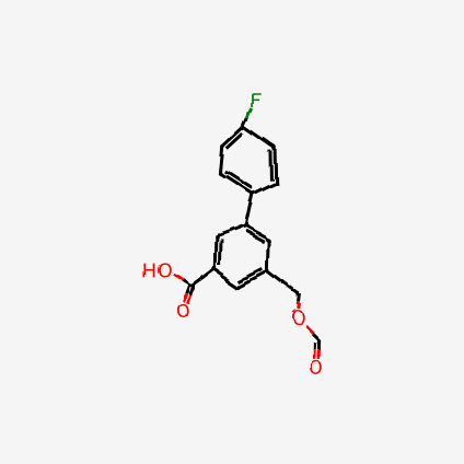 O=COCc1cc(C(=O)O)cc(-c2ccc(F)cc2)c1